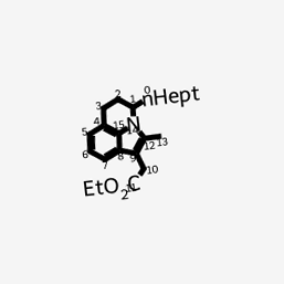 CCCCCCCC1CCc2cccc3c(CC(=O)OCC)c(C)n1c23